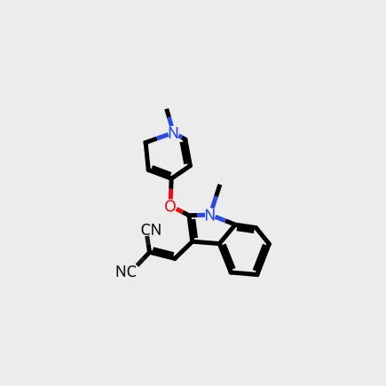 CN1C=CC(Oc2c(C=C(C#N)C#N)c3ccccc3n2C)=CC1